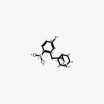 [O-][S+](Cl)c1ccc(F)cc1CC1CN2CCC1CC2